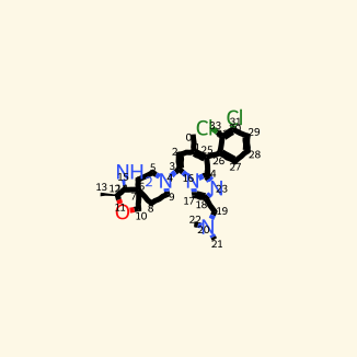 Cc1cc(N2CCC3(CC2)CO[C@@H](C)[C@H]3N)n2cc(CN(C)C)nc2c1-c1cccc(Cl)c1Cl